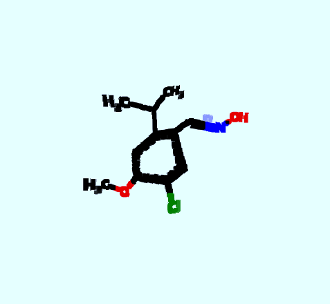 COc1cc(C(C)C)c(/C=N/O)cc1Cl